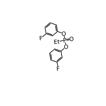 CCP(=O)(Oc1cccc(F)c1)Oc1cccc(F)c1